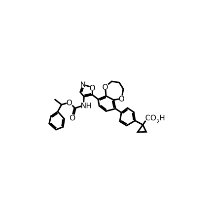 CC(OC(=O)Nc1cnoc1-c1ccc(-c2ccc(C3(C(=O)O)CC3)cc2)c2c1OCCCO2)c1ccccc1